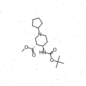 COC(=O)[C@@H]1CN(C2CCCC2)CC[C@H]1NC(=O)OC(C)(C)C